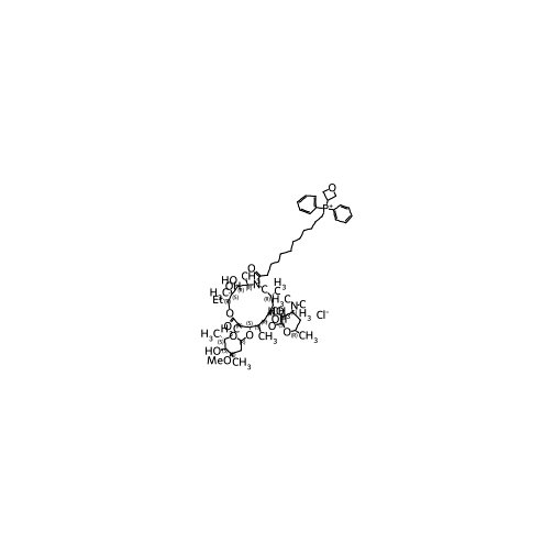 CC[C@H]1OC(=O)[C@H](C)[C@@H](O[C@H]2C[C@@](C)(OC)[C@@H](O)[C@H](C)O2)[C@H](C)[C@@H](O[C@@H]2O[C@H](C)C[C@H](N(C)C)[C@H]2O)[C@](C)(O)C[C@@H](C)CN(C(=O)CCCCCCCCCCC[P+](c2ccccc2)(c2ccccc2)C2COC2)[C@H](C)[C@@H](O)[C@]1(C)O.[Cl-]